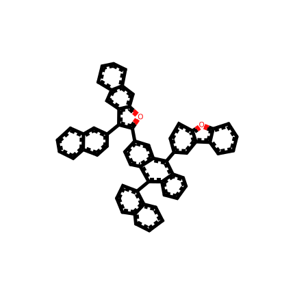 c1ccc2cc(-c3c(-c4ccc5c(-c6cccc7ccccc67)c6ccccc6c(-c6ccc7oc8ccccc8c7c6)c5c4)oc4cc5ccccc5cc34)ccc2c1